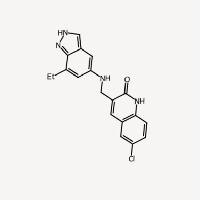 CCc1cc(NCc2cc3cc(Cl)ccc3[nH]c2=O)cc2c[nH]nc12